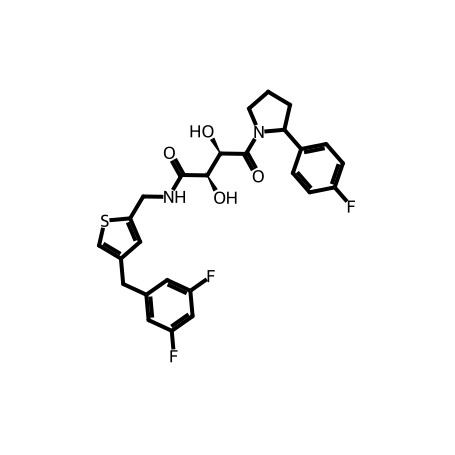 O=C(NCc1cc(Cc2cc(F)cc(F)c2)cs1)[C@H](O)[C@@H](O)C(=O)N1CCCC1c1ccc(F)cc1